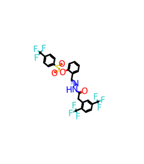 O=C(Cc1cc(C(F)(F)F)ccc1C(F)(F)F)N/N=C/c1ccccc1OS(=O)(=O)c1ccc(C(F)(F)F)cc1